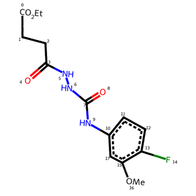 CCOC(=O)CCC(=O)NNC(=O)Nc1ccc(F)c(OC)c1